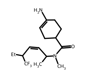 CCC(/C=C\C(C)N(C)C(=O)C1CC=C(N)CC1)C(F)(F)F